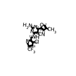 Cc1coc(-c2nc(N)nc(NCc3ncc(C(F)(F)F)cc3Cl)c2C#N)c1